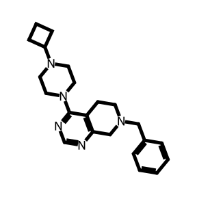 c1ccc(CN2CCc3c(ncnc3N3CCN(C4CCC4)CC3)C2)cc1